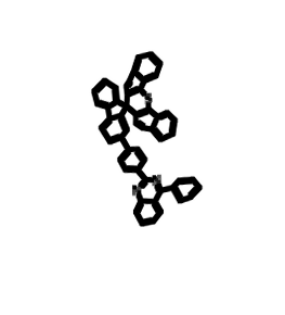 c1ccc(-c2nc(-c3ccc(-c4ccc5c(c4)C4(c6ccccc6-5)c5ccc6ccccc6c5Sc5c4ccc4ccccc54)cc3)nc3ccccc23)cc1